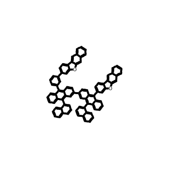 c1cc(-c2ccc3c(c2)oc2cc4ccccc4cc23)cc(-c2c3ccccc3c(-c3cccc4ccccc34)c3cc(-c4ccc5c(-c6ccc7c(c6)oc6cc8ccccc8cc67)c6ccccc6c(-c6cccc7ccccc67)c5c4)ccc23)c1